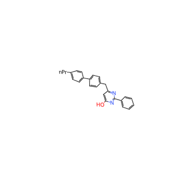 CCCc1ccc(-c2ccc(Cc3cc(O)nc(-c4ccccc4)n3)cc2)cc1